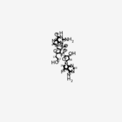 Nc1nc2c(ncn2[C@@H]2O[C@H](CCO)[C@@H](F)[C@H]2P(=O)(O)OC[C@H]2O[C@@H](n3cc(F)c4c(N)ncnc43)C[C@@H]2O)c(=O)[nH]1